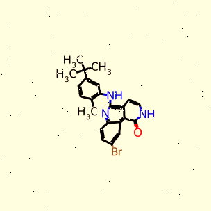 Cc1ccc(C(C)(C)C)cc1Nc1nc2ccc(Br)cc2c2c(=O)[nH]ccc12